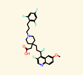 COc1ccc2ncc(F)c([C@H](F)CCC3(CC(=O)O)CCN(CCCc4c(F)cc(F)cc4F)CC3)c2c1